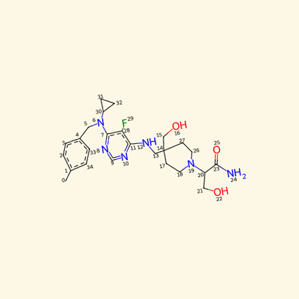 Cc1ccc(CN(c2ncnc(NCC3(CO)CCN(C(CO)C(N)=O)CC3)c2F)C2CC2)cc1